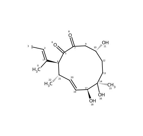 C/C(=C\I)[C@H]1C(=O)C(=O)C[C@H](O)CC[C@@](C)(O)[C@@H](O)/C=C/[C@@H]1C